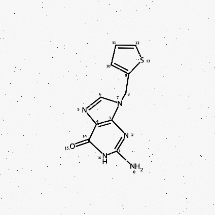 Nc1nc2c(ncn2Cc2cccs2)c(=O)[nH]1